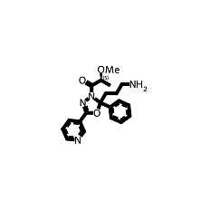 CO[C@@H](C)C(=O)N1N=C(c2cccnc2)OC1(CCCN)c1ccccc1